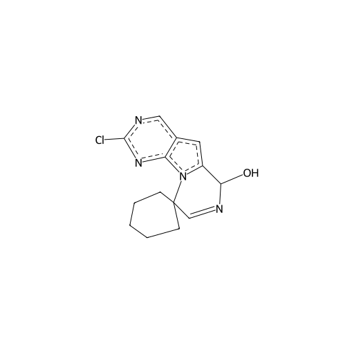 OC1N=CC2(CCCCC2)n2c1cc1cnc(Cl)nc12